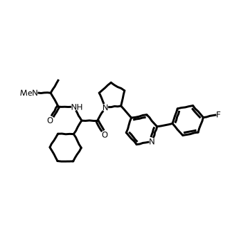 CNC(C)C(=O)NC(C(=O)N1CCCC1c1ccnc(-c2ccc(F)cc2)c1)C1CCCCC1